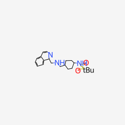 CC(C)(C)S(=O)(=O)NC1CCC(CNCc2nccc3ccccc23)CC1